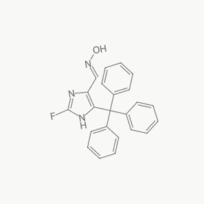 ON=Cc1nc(F)[nH]c1C(c1ccccc1)(c1ccccc1)c1ccccc1